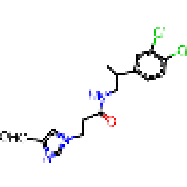 CC(CNC(=O)CCn1cnc(C=O)c1)c1ccc(Cl)c(Cl)c1